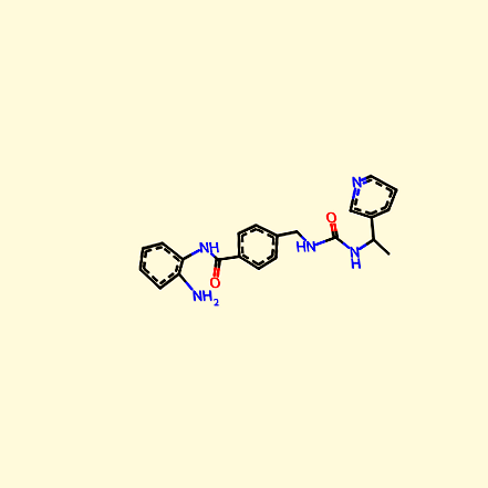 CC(NC(=O)NCc1ccc(C(=O)Nc2ccccc2N)cc1)c1cccnc1